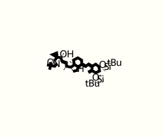 C=C1/C(=C\C=C2/CCC[C@]3(C)[C@@H]([C@H](C)/C=C/[C@@H](O)C4(C5=NCC(C)(C)O5)CC4)CC[C@@H]23)C[C@@H](O[Si](C)(C)C(C)(C)C)C[C@@H]1O[Si](C)(C)C(C)(C)C